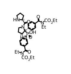 CCOC(=O)N(CC)C(=O)c1ccc([C@@H]2CCN(C(=O)[C@@H]3CCCN3)[C@@]2(c2ccc(C(=O)N(CC)C(=O)OCC)cc2)P(=O)(O)O)cc1